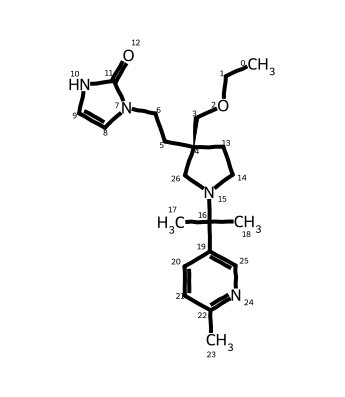 CCOC[C@@]1(CCn2cc[nH]c2=O)CCN(C(C)(C)c2ccc(C)nc2)C1